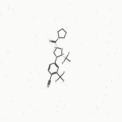 N#Cc1ccc(N2C[C@H](C(=O)N3CCCC3)O[C@@H]2C(F)(F)F)cc1C(F)(F)F